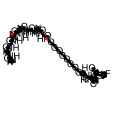 Cc1cc(F)cc(C)c1Oc1ccc(C(C)(C)O)cc1-c1cn(C)c(=O)c2[nH]c(C(=O)Nc3ccc(OCCOCCOCCOCCOCCOCCOCCOCCNC(=O)CCNC(=O)c4nc(NC(=O)CCNC(=O)c5cc(NC(=O)c6nc(NC(=O)CCNC(=O)c7cc(NC(=O)c8nccn8C)cn7C)cn6C)cn5C)cn4C)cc3)cc12